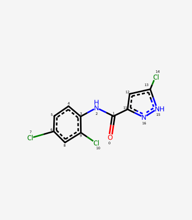 O=C(Nc1ccc(Cl)cc1Cl)c1cc(Cl)[nH]n1